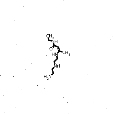 CCNC(=O)/C=C(/C)NCCNCCN